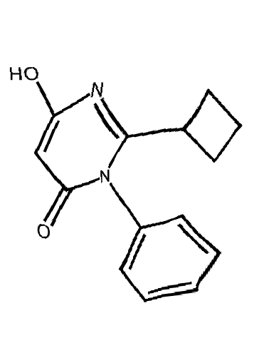 O=c1cc(O)nc(C2CCC2)n1-c1ccccc1